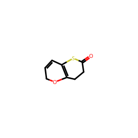 O=C1CCC2=C(C=CCO2)S1